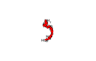 Nc1nc2cc(-c3nn(Cc4ccc5c(c4)CCN(C(=O)c4cnc(N6CCN(CCOCCN7CCN(c8ncc(CNC(=O)CO)cn8)CC7)CC6)nc4)C5)c4ncnc(N)c34)ccc2o1